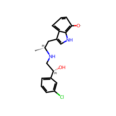 C[C@H](Cc1c[nH]c2c([O])cccc12)NC[C@H](O)c1cccc(Cl)c1